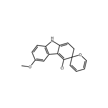 COc1ccc2[nH]c3c(c2c1)=C(Cl)C1(C=CC=CO1)CC=3